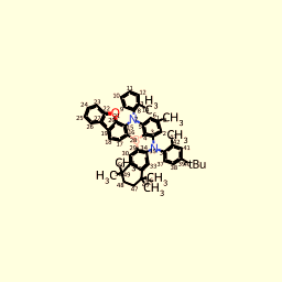 Cc1cc2c3c(c1)N(c1ccccc1C)c1c(ccc4c1oc1ccccc14)B3c1cc3c(cc1N2c1ccc(C(C)(C)C)cc1C)C(C)(C)CCC3(C)C